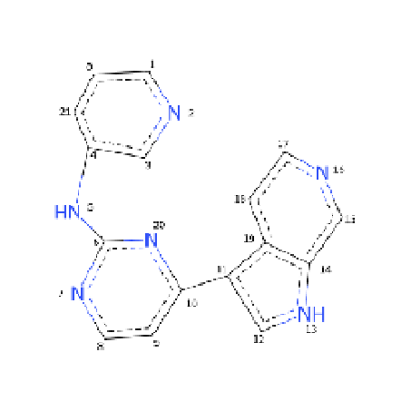 c1cncc(Nc2nccc(-c3c[nH]c4cnccc34)n2)c1